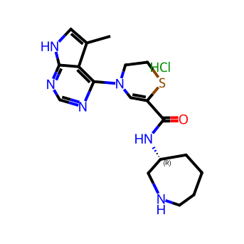 Cc1c[nH]c2ncnc(N3C=C(C(=O)N[C@@H]4CCCCNC4)SCC3)c12.Cl